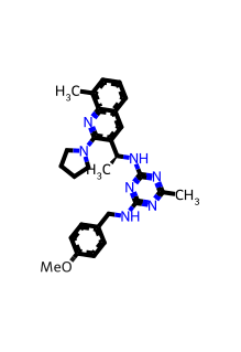 COc1ccc(CNc2nc(C)nc(N[C@@H](C)c3cc4cccc(C)c4nc3N3CCCC3)n2)cc1